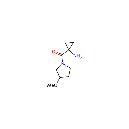 COC1CCN(C(=O)C2(N)CC2)C1